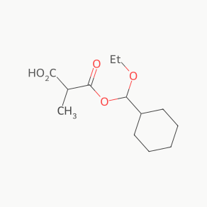 CCOC(OC(=O)C(C)C(=O)O)C1CCCCC1